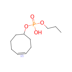 CCCOP(=O)(O)OC1CC/C=C\CCC1